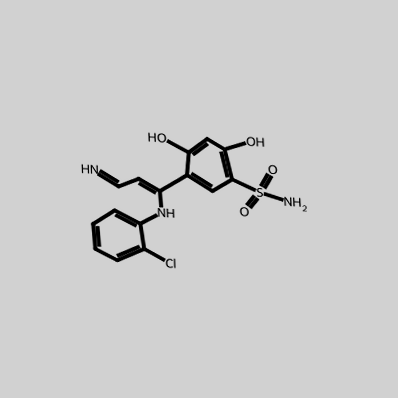 N=C/C=C(\Nc1ccccc1Cl)c1cc(S(N)(=O)=O)c(O)cc1O